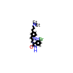 CCN(CC)CCCc1ccc2[nH]c(/C=C3/C(=O)Nc4ccc(Br)cc43)cc2c1